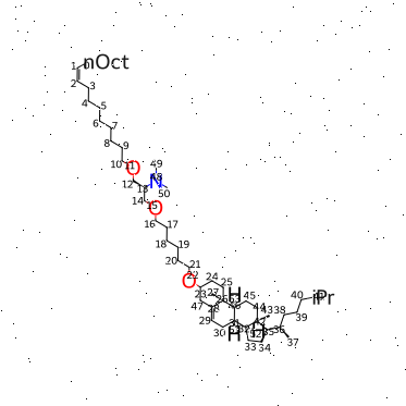 CCCCCCCC/C=C\CCCCCCCCOC[C@H](COCCCCCCOC1CC[C@@]2(C)C(=CC[C@H]3[C@@H]4CC[C@H]([C@H](C)CCCC(C)C)[C@@]4(C)CC[C@@H]32)C1)N(C)C